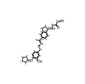 C/C(=N\OCc1ccc(OC2CCCC2)c(C#N)c1)c1ccc2c(c1)CCC2NCC(=O)OC(C)C